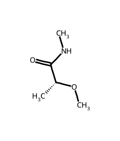 CNC(=O)[C@@H](C)OC